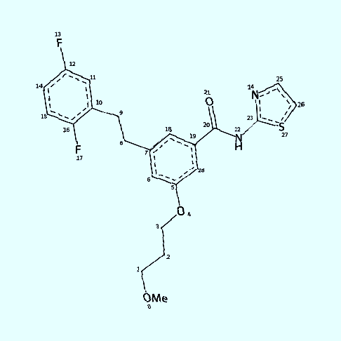 COCCCOc1cc(CCc2cc(F)ccc2F)cc(C(=O)Nc2nccs2)c1